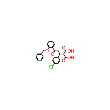 O=C(CC(c1ccc(Cl)cc1)C(C(=O)O)C(=O)O)c1ccccc1OCc1ccccc1